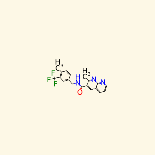 Cc1ccc(CNC(=O)c2cc3cccnc3nc2C)cc1C(F)(F)F